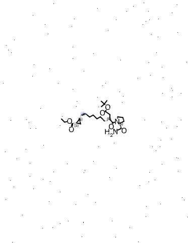 CCOC(=O)[C@H]1C[C@H]1/C=C\CCCCC[C@H](CC(=O)OC(C)(C)C)C(=O)N1CCC[C@H]1C(N)=O